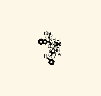 CCCC(NC(=O)[C@@H]1[C@@H]2[C@H](CN1C(=O)[C@@H](NC(=O)OC(C)(C)C)C1Cc3ccccc3C1)C2(C)C)C(=O)C(=O)N[C@@H](C)c1ccccc1